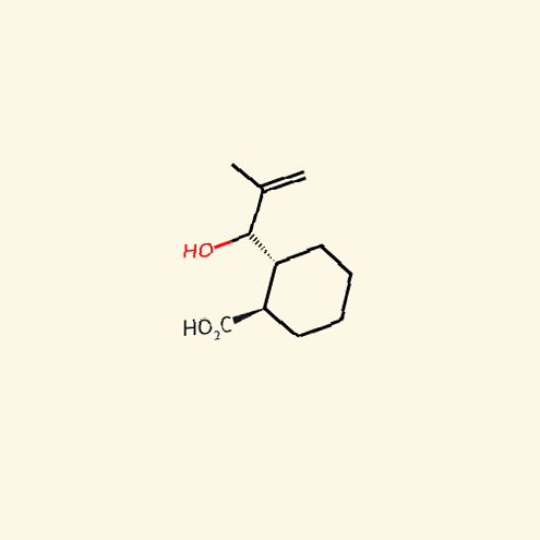 C=C(C)C(O)[C@@H]1CCCC[C@H]1C(=O)O